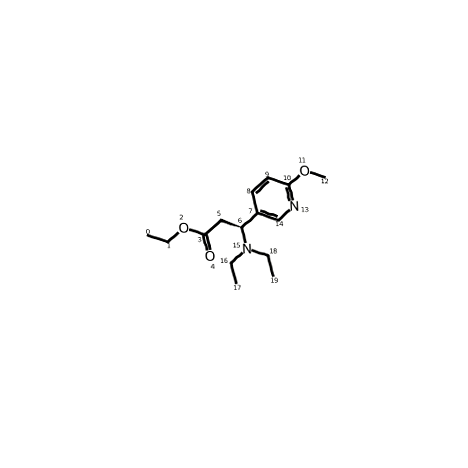 CCOC(=O)C[C@@H](c1ccc(OC)nc1)N(CC)CC